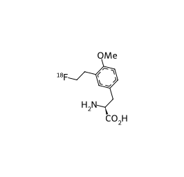 COc1ccc(C[C@H](N)C(=O)O)cc1CC[18F]